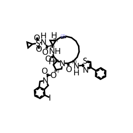 O=C1N[C@]2(C(=O)NS(=O)(=O)C3CC3)C[C@H]2/C=C\CCCCC[C@H](Nc2nc(-c3ccccc3)cs2)C(=O)N2C[C@H](OC(=O)N3Cc4cccc(I)c4C3)C[C@@H]12